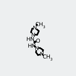 CN1CCN(NC(=O)NN2CCN(C)CC2)CC1